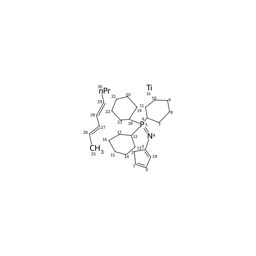 C1=CCC(N=P(C2CCCCC2)(C2CCCCC2)C2CCCCC2)=C1.CC=CC=CCCC.[Ti]